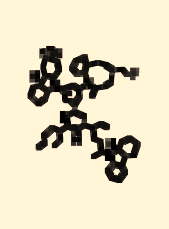 C=C/C=C\C(=C/C)C1=NC(c2cc(N3C(=C)/C=C\C(CCF)=C/Cc4ccccc43)cc(N3C4=C(CC(CCCC)C=C4)[C@@H]4C=CC=CC43)c2)=CC(/C(C=C)=C/C=C(\C)N2c3ccccc3C3C=CC=C[C@H]32)N1